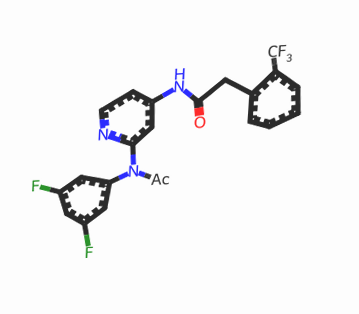 CC(=O)N(c1cc(F)cc(F)c1)c1cc(NC(=O)Cc2ccccc2C(F)(F)F)ccn1